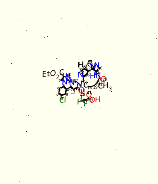 CCOC(=O)c1cn(-c2ccc(Cl)cc2-c2cc(=O)n([C@H]3CCC[C@@H](C)C(=O)Nc4cnn(C)c4-c4ccnc3c4)cn2)nn1.O=C(O)C(F)(F)F